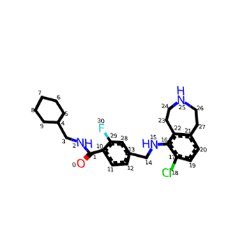 O=C(NCC1CCCCC1)c1ccc(CNc2c(Cl)ccc3c2CCNCC3)cc1F